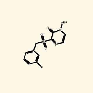 CCCCn1ccnc(S(=O)(=O)Cc2cccc(F)c2)c1=O